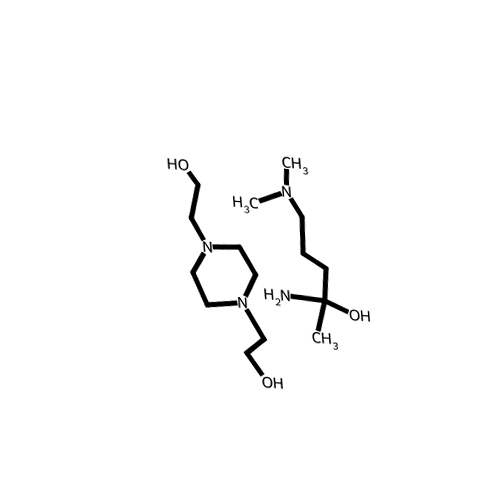 CN(C)CCCC(C)(N)O.OCCN1CCN(CCO)CC1